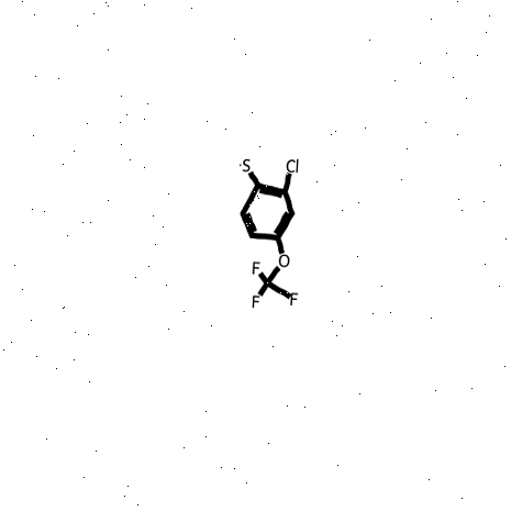 FC(F)(F)Oc1ccc([S])c(Cl)c1